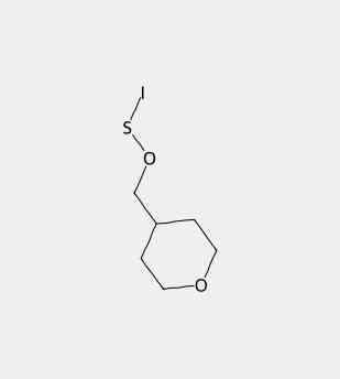 ISOCC1CCOCC1